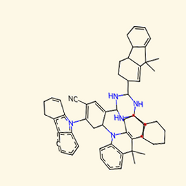 CC1(C)C2=CC=CCC2C2CCC(C3NC(C4=CC(C#N)=C(n5c6c(c7ccccc75)CCC=C6)CC4N4C5=C(CCCC5)C(C)(C)c5ccccc54)NC(C4CCCCC4)N3)C=C21